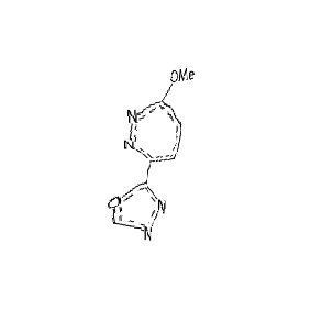 COc1ccc(-c2nnco2)nn1